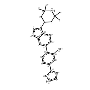 CC1(C)CC(n2nnc3cc(-c4ccc(-c5cc[nH]n5)cc4O)nnc32)CC(C)(C)N1